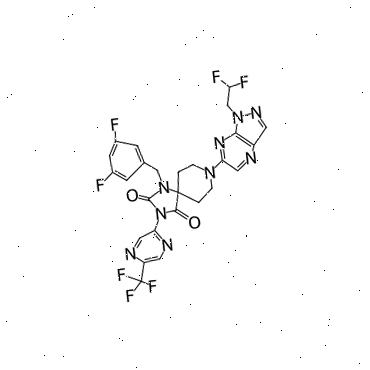 O=C1N(c2cnc(C(F)(F)F)cn2)C(=O)C2(CCN(c3cnc4cnn(CC(F)F)c4n3)CC2)N1Cc1cc(F)cc(F)c1